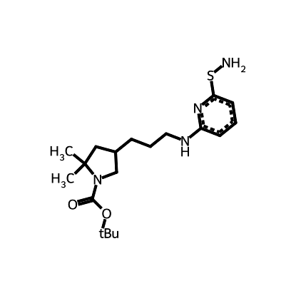 CC(C)(C)OC(=O)N1CC(CCCNc2cccc(SN)n2)CC1(C)C